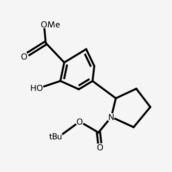 COC(=O)c1ccc(C2CCCN2C(=O)OC(C)(C)C)cc1O